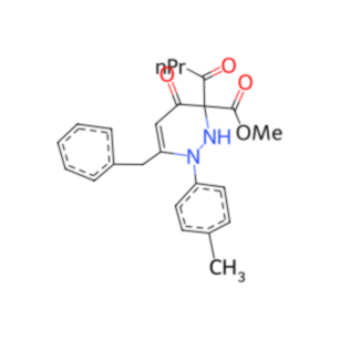 CCCC(=O)C1(C(=O)OC)NN(c2ccc(C)cc2)C(Cc2ccccc2)=CC1=O